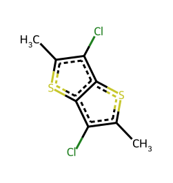 Cc1sc2c(Cl)c(C)sc2c1Cl